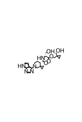 O=C(N[C@H](CO)C(=O)OCC1(CO)CC1)[C@H]1CCN(c2ncnc3[nH]ccc23)CC12CC2